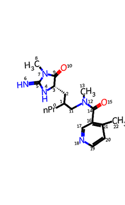 CCCC(C[C@@H]1NC(=N)N(C)C1=O)CN(C)C(=O)c1cnccc1C